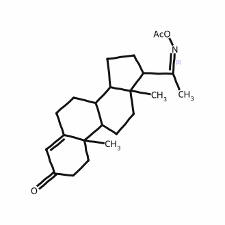 CC(=O)O/N=C(/C)C1CCC2C3CCC4=CC(=O)CCC4(C)C3CCC12C